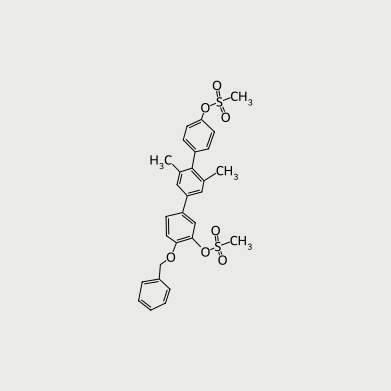 Cc1cc(-c2ccc(OCc3ccccc3)c(OS(C)(=O)=O)c2)cc(C)c1-c1ccc(OS(C)(=O)=O)cc1